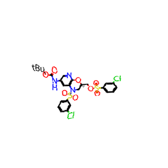 CC(C)(C)OC(=O)Nc1cnc2c(c1)N(S(=O)(=O)c1cccc(Cl)c1)C[C@H](COS(=O)(=O)c1cccc(Cl)c1)O2